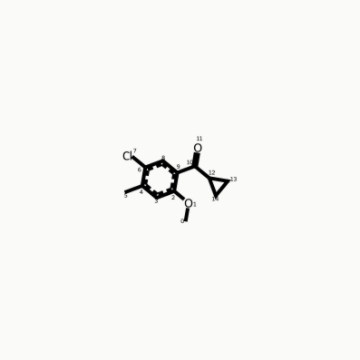 COc1cc(C)c(Cl)cc1C(=O)C1CC1